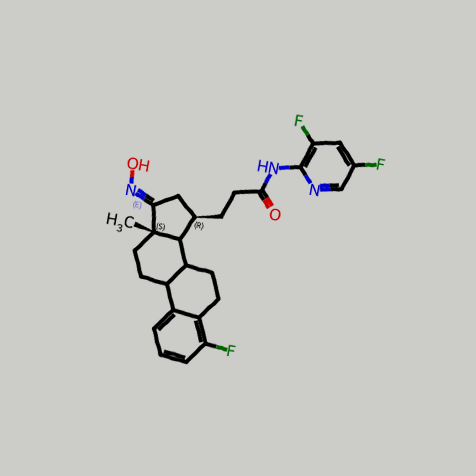 C[C@]12CCC3c4cccc(F)c4CCC3C1[C@H](CCC(=O)Nc1ncc(F)cc1F)C/C2=N\O